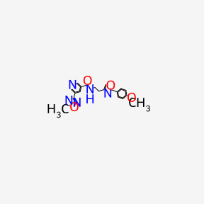 COc1ccc(-c2nc(CCNC(=O)c3cncc(-c4noc(C)n4)c3)co2)cc1